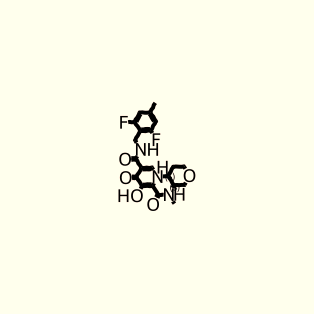 Cc1cc(F)c(CNC(=O)c2cn3c(c(O)c2=O)C(=O)N(C)[C@@H]2COCC[C@@H]23)c(F)c1